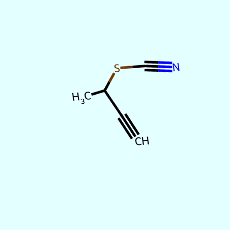 C#CC(C)SC#N